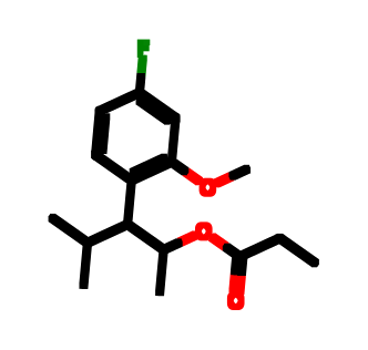 CCC(=O)OC(C)C(c1ccc(F)cc1OC)C(C)C